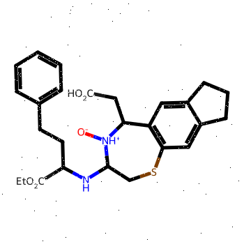 CCOC(=O)C(CCc1ccccc1)NC1CSc2cc3c(cc2C(CC(=O)O)[NH+]1[O-])CCC3